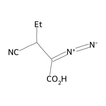 CCC(C#N)C(=[N+]=[N-])C(=O)O